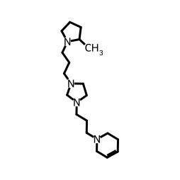 CC1CCCN1CCCN1CCN(CCCN2CC=CCC2)C1